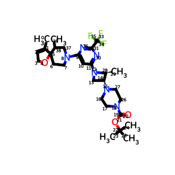 CC1=CCOC12CCN(c1cc(N3C[C@@H](N4CCN(C(=O)OC(C)(C)C)CC4)[C@H]3C)nc(C(F)(F)F)n1)CC2C